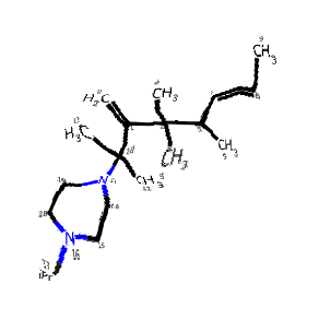 C=C(C(C)(C)C(C)C=CC)C(C)(C)N1CCN(C(C)C)CC1